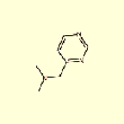 CN(C)Cc1ccncn1